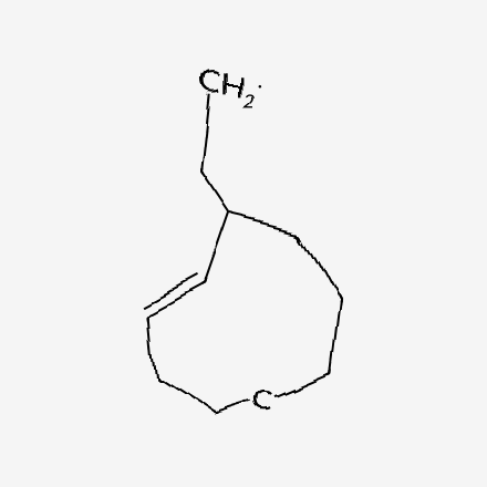 [CH2]CC1/C=C/CCCCCC1